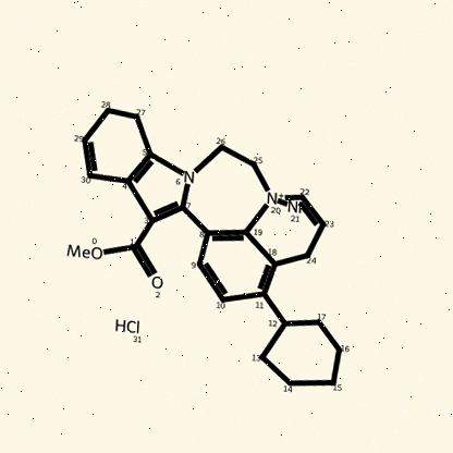 COC(=O)c1c2c(n3c1-c1ccc(C4CCCCC4)c4c1[N+](N)(C=CC4)CC3)CCC=C2.Cl